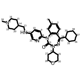 Cc1ccc2c(c1)N(c1ccc(NCC3CCN(C)CC3)cn1)C(=O)N(C1CCOCC1)N=C2C1CCCCC1